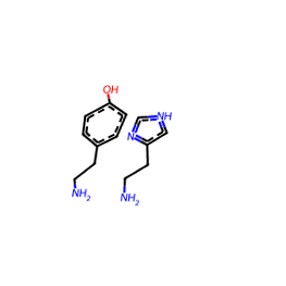 NCCc1c[nH]cn1.NCCc1ccc(O)cc1